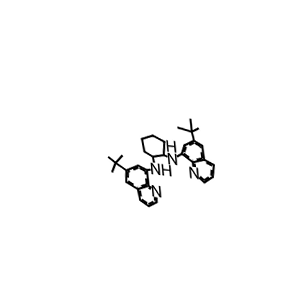 CC(C)(C)c1cc(NC2CCCCC2Nc2cc(C(C)(C)C)cc3cccnc23)c2ncccc2c1